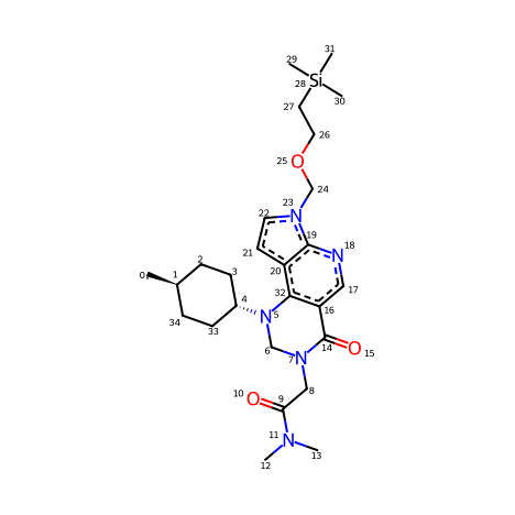 [CH2][C@H]1CC[C@H](N2CN(CC(=O)N(C)C)C(=O)c3cnc4c(ccn4COCC[Si](C)(C)C)c32)CC1